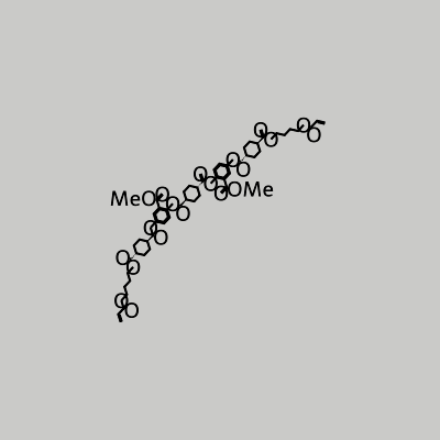 C=CC(=O)OCCCCOC(=O)[C@H]1CC[C@H](C(=O)Oc2ccc(OC(=O)[C@H]3CC[C@H](C(=O)Oc4ccc(OC(=O)[C@H]5CC[C@H](C(=O)OCCCCOC(=O)C=C)CC5)cc4C(=O)OC)CC3)c(C(=O)OC)c2)CC1